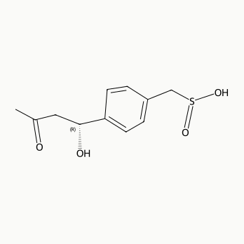 CC(=O)C[C@@H](O)c1ccc(CS(=O)O)cc1